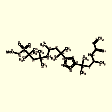 C=CC(=O)NC(C)CC(C)(C)c1cn(C(C)(C)CC(C)NC(C)(C)CC(C)(C)S(=O)(=O)OOC)nn1